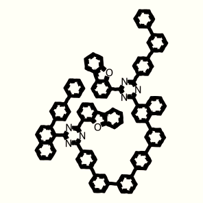 c1ccc(-c2ccc(-c3ccc4ccccc4c3-c3nc(-c4ccc(-c5cccc(-c6cccc(-c7ccc(-c8cccc(-c9ccc(-c%10nc(-c%11ccc(-c%12cccc(-c%13ccccc%13)c%12)cc%11)nc(-c%11cccc%12c%11oc%11ccccc%11%12)n%10)c%10ccccc9%10)c8)cc7)c6)c5)cc4)nc(-c4cccc5c4oc4ccccc45)n3)cc2)cc1